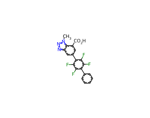 Cn1nnc2cc(-c3c(F)c(F)c(-c4ccccc4)c(F)c3F)cc(C(=O)O)c21